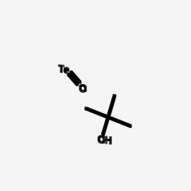 CC(C)(C)O.O=[Te]